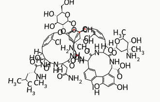 CN[C@H](CC(C)C)C(=O)N[C@H]1C(=O)N[C@@H](CC(N)=O)C(=O)N[C@H]2C(=O)N[C@H]3C(=O)N[C@H](C(=O)N[C@H](C(=O)O)c4cc(O)cc(O)c4-c4cc3ccc4I)[C@H](O[C@H]3C[C@](C)(N)[C@@H](O)[C@H](C)O3)c3ccc(c(Cl)c3)Oc3cc2cc(c3O[C@@H]2O[C@H](CO)[C@@H](O)[C@H](O)[C@H]2O[C@H]2C[C@](C)(N)[C@@H](O)[C@H](C)O2)Oc2ccc(cc2Cl)[C@H]1O